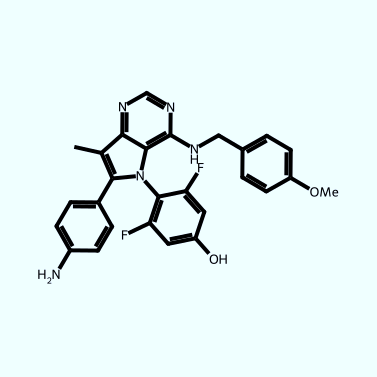 COc1ccc(CNc2ncnc3c(C)c(-c4ccc(N)cc4)n(-c4c(F)cc(O)cc4F)c23)cc1